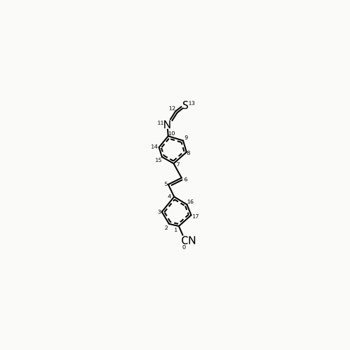 N#Cc1ccc(/C=C/c2ccc(N=C=S)cc2)cc1